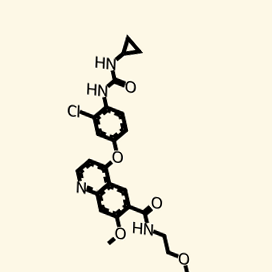 COCCNC(=O)c1cc2c(Oc3ccc(NC(=O)NC4CC4)c(Cl)c3)ccnc2cc1OC